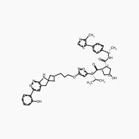 Cc1ncsc1-c1ccc([C@H](C)NC(=O)[C@@H]2C[C@@H](O)CN2C(=O)[C@@H](c2cc(OCCCN3CC4(Cc5cc(-c6ccccc6O)nnc5N4)C3)no2)C(C)C)cc1